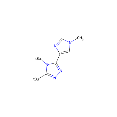 Cn1cnc(-c2nnc(C(C)(C)C)n2C(C)(C)C)c1